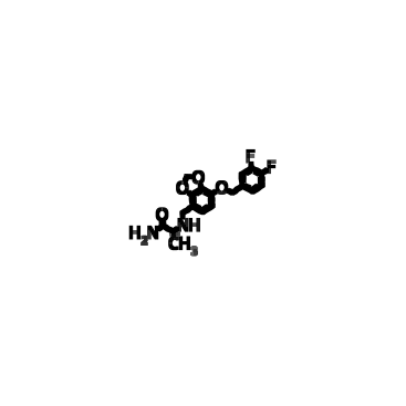 C[C@H](NCc1ccc(OCc2ccc(F)c(F)c2)c2c1OCO2)C(N)=O